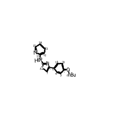 CCCCOc1ccc(-c2csc(Nc3ccccn3)n2)cc1